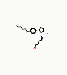 [C-]#[N+][C@@H]1C[C@@H](O)[C@H](c2ccc(C(O)CCCCC)cc2)[C@H]1C/C=C\CCCC(=O)O